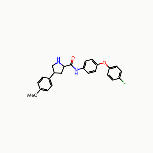 COc1ccc(C2CNC(C(=O)Nc3ccc(Oc4ccc(F)cc4)cc3)C2)cc1